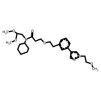 COCCn1cc(-c2cccc(CCOCCC(=O)N(CC(OC)OC)C3CCCCC3)c2)cn1